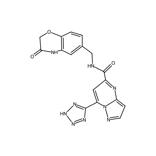 O=C1COc2ccc(CNC(=O)c3cc(-c4nn[nH]n4)n4nccc4n3)cc2N1